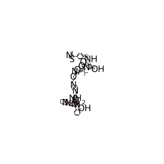 Cc1ncsc1-c1ccc([C@H](C)NC(=O)[C@@H]2C[C@@H](O)CN2C(=O)[C@@H](c2cc(OCCN3CCN(CCOc4cc(N5C6CCC5CN(c5cc(-c7ccccc7O)nnc5N)C6)ccn4)CC3)no2)C(C)C)cc1